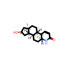 C[C@]12CC[C@H]3[C@@H](CC[C@H]4NC(=O)C=C[C@@]43C)[C@@H]1C[C@@H](O)C2